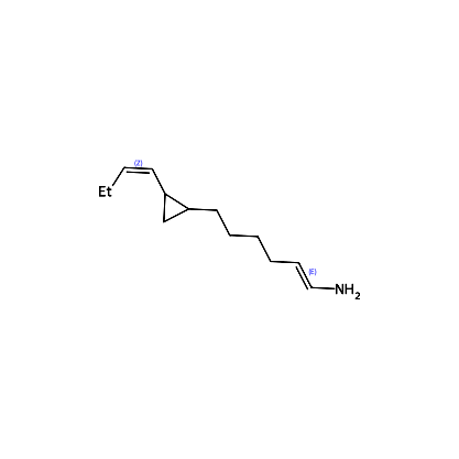 CC/C=C\C1CC1CCCC/C=C/N